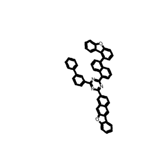 c1ccc(-c2cccc(-c3nc(-c4ccc5cc6c(cc5c4)oc4ccccc46)nc(-c4cccc5c(-c6cccc7oc8ccccc8c67)cccc45)n3)c2)cc1